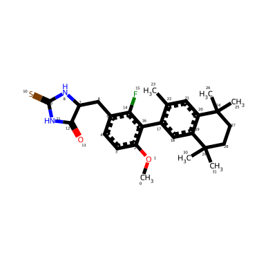 COc1ccc(CC2NC(=S)NC2=O)c(F)c1-c1cc2c(cc1C)C(C)(C)CCC2(C)C